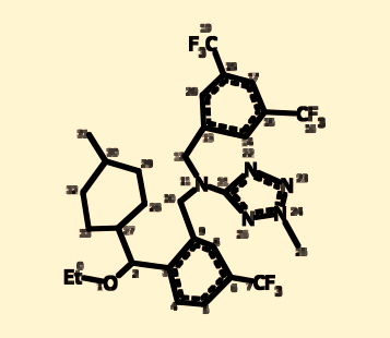 CCOC(c1ccc(C(F)(F)F)cc1CN(Cc1cc(C(F)(F)F)cc(C(F)(F)F)c1)c1nnn(C)n1)C1CCC(C)CC1